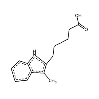 Cc1c(CCCCC(=O)O)[nH]c2ccccc12